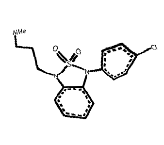 CNCCCN1c2ccccc2N(c2ccc(Cl)cc2)S1(=O)=O